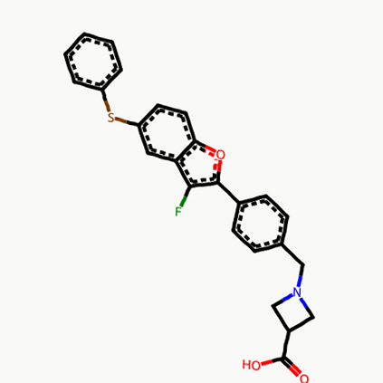 O=C(O)C1CN(Cc2ccc(-c3oc4ccc(Sc5ccccc5)cc4c3F)cc2)C1